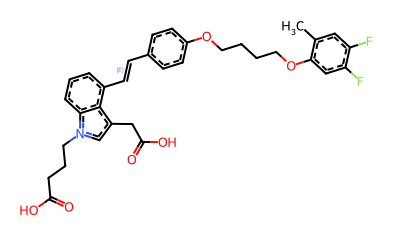 Cc1cc(F)c(F)cc1OCCCCOc1ccc(/C=C/c2cccc3c2c(CC(=O)O)cn3CCCC(=O)O)cc1